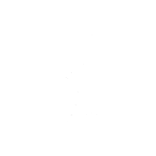 Cc1c(C(=O)Nc2ccc(N3C[C@@H](C)O[C@@H](C)C3)nc2)cccc1-c1ccc(C(F)(F)F)cc1